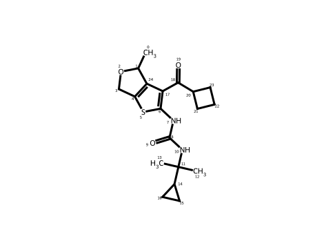 CC1OCc2sc(NC(=O)NC(C)(C)C3CC3)c(C(=O)C3CCC3)c21